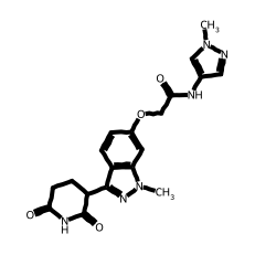 Cn1cc(NC(=O)COc2ccc3c(C4CCC(=O)NC4=O)nn(C)c3c2)cn1